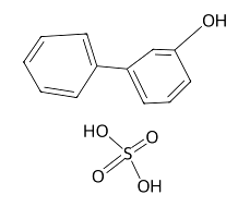 O=S(=O)(O)O.Oc1cccc(-c2ccccc2)c1